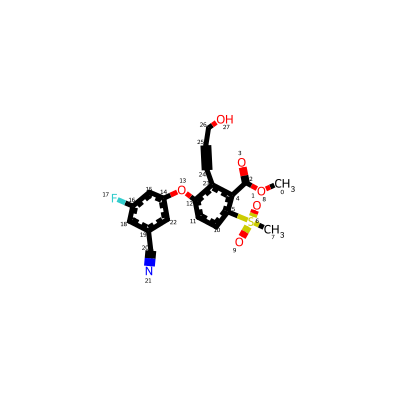 COC(=O)c1c(S(C)(=O)=O)ccc(Oc2cc(F)cc(C#N)c2)c1C#CCO